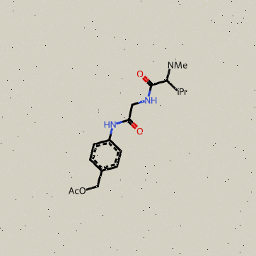 CNC(C(=O)NCC(=O)Nc1ccc(COC(C)=O)cc1)C(C)C